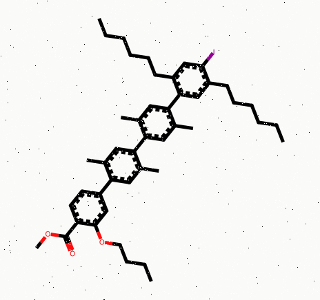 CCCCCCc1cc(-c2cc(C)c(-c3cc(C)c(-c4ccc(C(=O)OC)c(OCCCC)c4)cc3C)cc2C)c(CCCCCC)cc1I